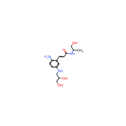 CC(CO)NC(=O)C=Cc1cc(NCC(O)CO)ccc1N